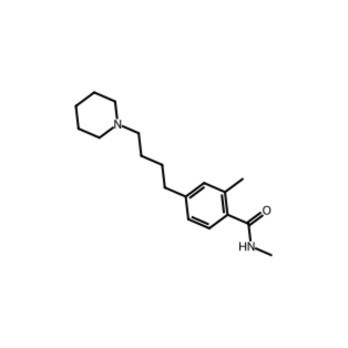 CNC(=O)c1ccc(CCCCN2CCCCC2)cc1C